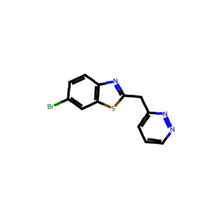 Brc1ccc2nc(Cc3cccnn3)sc2c1